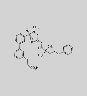 CN(C[C@H](O)CNC(C)(C)CCCc1ccccc1)S(=O)(=O)c1cccc(-c2cccc(CCC(=O)O)c2)c1